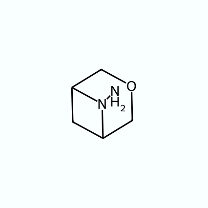 NN1C2COCC1C2